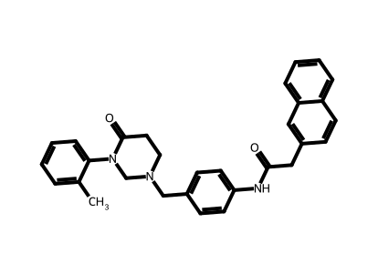 Cc1ccccc1N1CN(Cc2ccc(NC(=O)Cc3ccc4ccccc4c3)cc2)CCC1=O